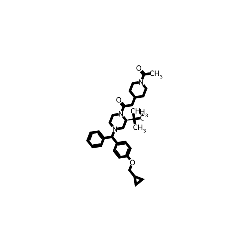 CC(=O)N1CCC(CC(=O)N2CCN(C(c3ccccc3)c3ccc(OCC4CC4)cc3)C[C@@H]2C(C)(C)C)CC1